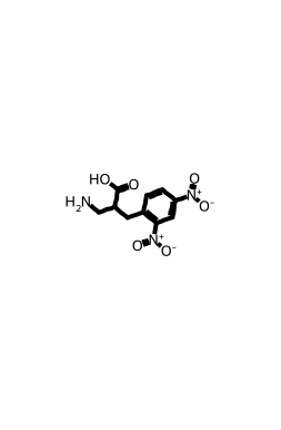 NCC(Cc1ccc([N+](=O)[O-])cc1[N+](=O)[O-])C(=O)O